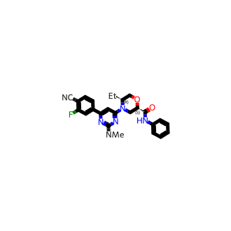 CC[C@@H]1CO[C@H](C(=O)Nc2ccccc2)CN1c1cc(-c2ccc(C#N)c(F)c2)nc(NC)n1